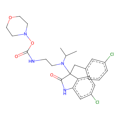 CC(C)N(CCNC(=O)ON1CCOCC1)C1(Cc2cccc(Cl)c2)C(=O)Nc2cc(Cl)ccc21